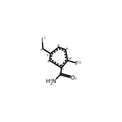 NC(=O)c1cc(CI)ccc1F